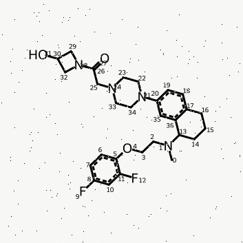 CN(CCOc1ccc(F)cc1F)C1CCCc2ccc(N3CCN(CC(=O)N4CC(O)C4)CC3)cc21